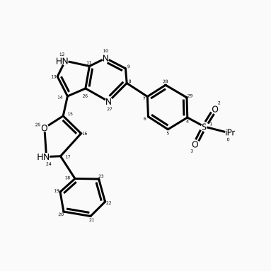 CC(C)S(=O)(=O)c1ccc(-c2cnc3[nH]cc(C4=CC(c5ccccc5)NO4)c3n2)cc1